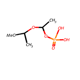 COC(C)OC(C)OP(=O)(O)O